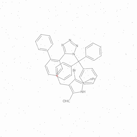 CCCc1[nH]c(C=O)c(Cc2ccc(-c3ccccc3)c(-c3nnnn3C(c3ccccc3)(c3ccccc3)c3ccccc3)c2)c1Br